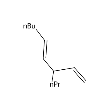 C=CC(C=CCCCC)CCC